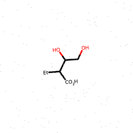 CCC(C(=O)O)C(O)CO